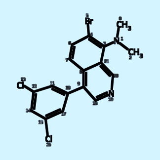 CN(C)c1c(Br)ccc2c(-c3cc(Cl)cc(Cl)c3)cncc12